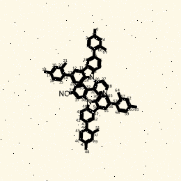 Cc1ccc(-c2ccc3c(c2)c2cc(-c4ccc(C)cc4C)ccc2n3-c2ccncc2-c2ccc(C#N)cc2-n2c3ccc(-c4ccc(C)cc4C)cc3c3cc(-c4ccc(C)cc4C)ccc32)c(C)c1